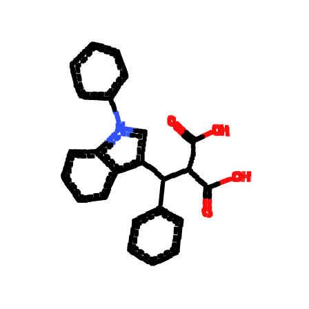 O=C(O)C(C(=O)O)C(c1ccccc1)c1cn(-c2ccccc2)c2ccccc12